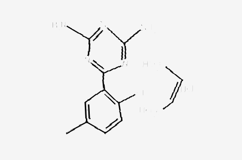 Cl.Nc1nc(N)nc(-c2cc(Cl)ccc2Cl)n1.O=C(O)/C=C\C(=O)O